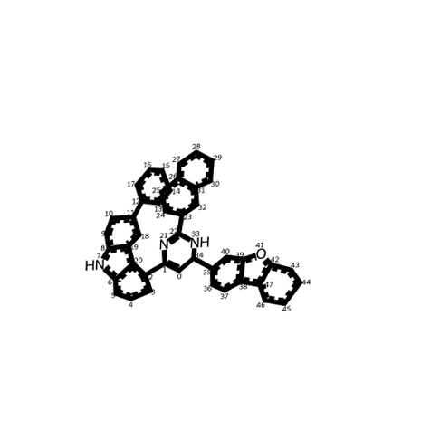 C1=C(c2cccc3[nH]c4ccc(-c5ccccc5)cc4c23)N=C(c2ccc3ccccc3c2)NC1c1ccc2c(c1)oc1ccccc12